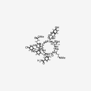 CNCCCC[C@@H]1NC(=O)[C@@H](Cc2ccc(C(N)=O)cc2)NC(=O)[C@H](Cc2ccc(O)cc2)NC(=O)[C@H](NC(=O)[C@H](Cc2ccc(Cl)cc2)NC(=O)CCC(=O)OC)CSSC[C@@H](C(=O)N[C@H](Cc2ccc(O)cc2)C(N)=O)NC(=O)[C@H]([C@@H](C)O)NC1=O